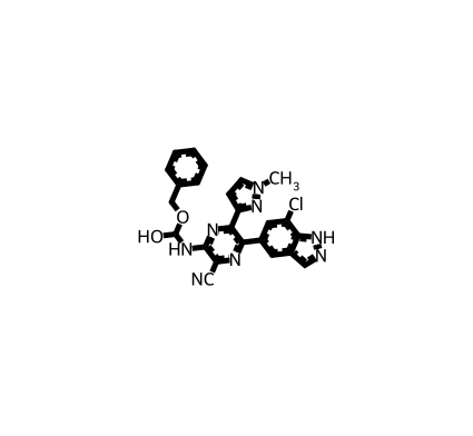 Cn1ccc(-c2nc(NC(O)OCc3ccccc3)c(C#N)nc2-c2cc(Cl)c3[nH]ncc3c2)n1